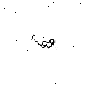 COC1C[C@H]2[C@@H]3CC[C@H]([C@H](C)CCc4ncccc4Cl)[C@@]3(C)CC[C@@H]2[C@@]2(C)CC[C@@H]3CC132